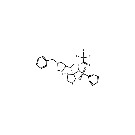 CN(C1CCN(Cc2ccccc2)C1)[C@]1(N(OC(=O)C(F)(F)F)S(=O)(=O)c2ccccc2)CSCN1Cl